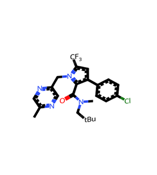 Cc1cnc(Cn2c(C(F)(F)F)cc(-c3ccc(Cl)cc3)c2C(=O)N(C)CC(C)(C)C)cn1